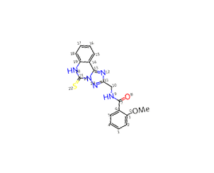 COc1ccccc1C(=O)NCc1nc2c3ccccc3[nH]c(=S)n2n1